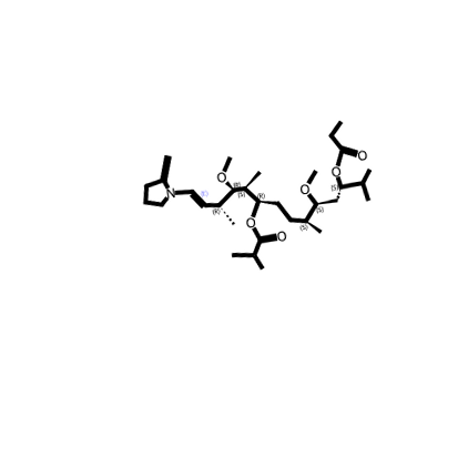 C=C1CCCN1/C=C/[C@@H](C)[C@@H](OC)[C@@H](C)[C@@H](CC[C@H](C)[C@H](C[C@H](OC(=O)CC)C(C)C)OC)OC(=O)C(C)C